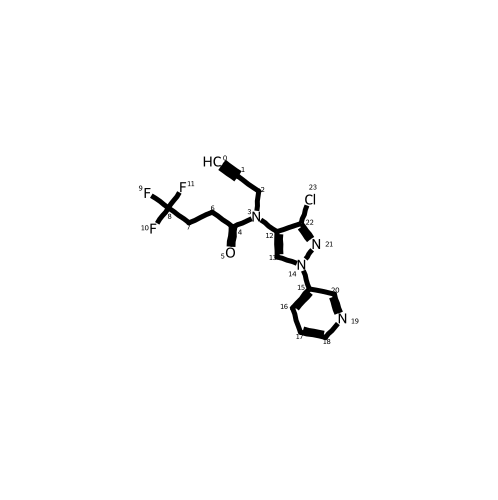 C#CCN(C(=O)CCC(F)(F)F)c1cn(-c2cccnc2)nc1Cl